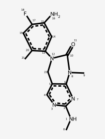 CNc1ncc2c(n1)N(C)C(=O)N(c1cc(N)c(F)cc1C)C2